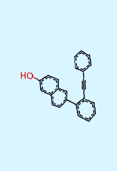 Oc1ccc2cc(-c3ccccc3C#Cc3ccccc3)ccc2c1